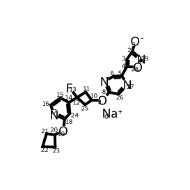 [Na+].[O-]c1cc(-c2cnc(OC3CC(F)(c4ccnc(OC5CCC5)c4)C3)cn2)on1